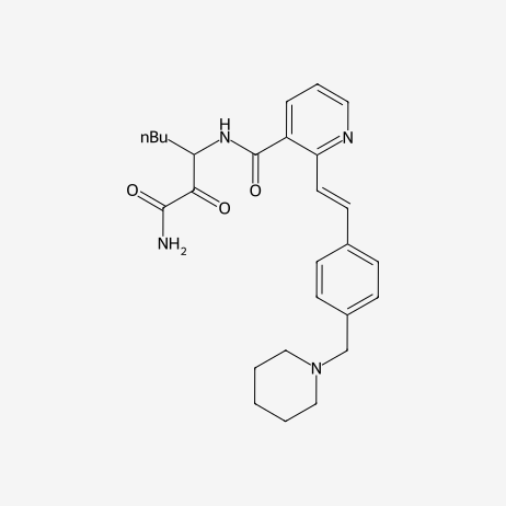 CCCCC(NC(=O)c1cccnc1C=Cc1ccc(CN2CCCCC2)cc1)C(=O)C(N)=O